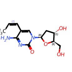 C/C=C\c1cn([C@H]2C[C@H](O)[C@@H](CO)O2)c(=O)nc1N